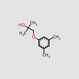 Cc1cc(C)cc(OCC(C)(C)O)c1